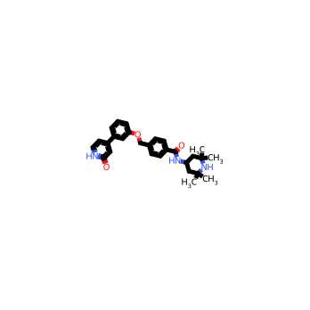 CC1(C)CC(NC(=O)c2ccc(COc3cccc(-c4cc[nH]c(=O)c4)c3)cc2)CC(C)(C)N1